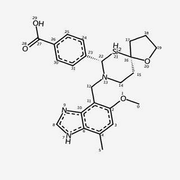 COc1cc(C)c2[nH]cnc2c1CN1CC[C@@]2(CCCO2)[SiH2][C@H]1c1ccc(C(=O)O)cc1